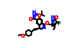 CCOC1CCC(C#Cc2cnc(OC[C@H]3NC(=O)[C@@H](F)[C@H]3CC)c3cc(OC(C)C)c(C(N)=O)cc23)CC1